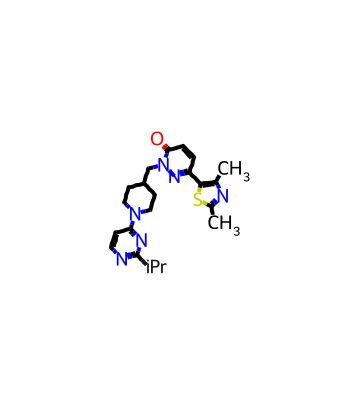 Cc1nc(C)c(-c2ccc(=O)n(CC3CCN(c4ccnc(C(C)C)n4)CC3)n2)s1